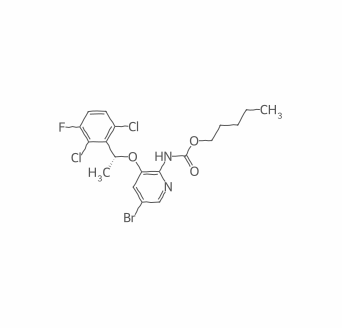 CCCCCOC(=O)Nc1ncc(Br)cc1O[C@H](C)c1c(Cl)ccc(F)c1Cl